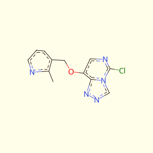 Cc1ncccc1COc1cnc(Cl)n2cnnc12